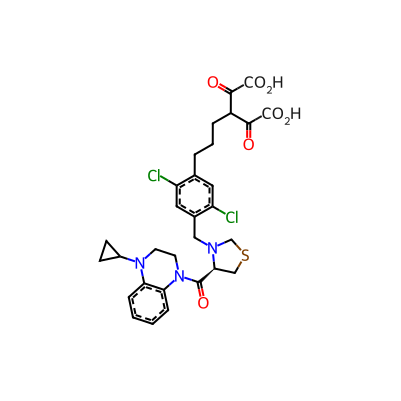 O=C(O)C(=O)C(CCCc1cc(Cl)c(CN2CSC[C@H]2C(=O)N2CCN(C3CC3)c3ccccc32)cc1Cl)C(=O)C(=O)O